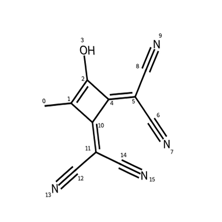 CC1=C(O)C(=C(C#N)C#N)C1=C(C#N)C#N